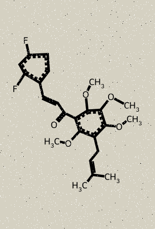 COc1c(CC=C(C)C)c(OC)c(C(=O)C=Cc2ccc(F)cc2F)c(OC)c1OC